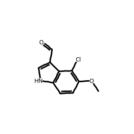 COc1ccc2[nH]cc(C=O)c2c1Cl